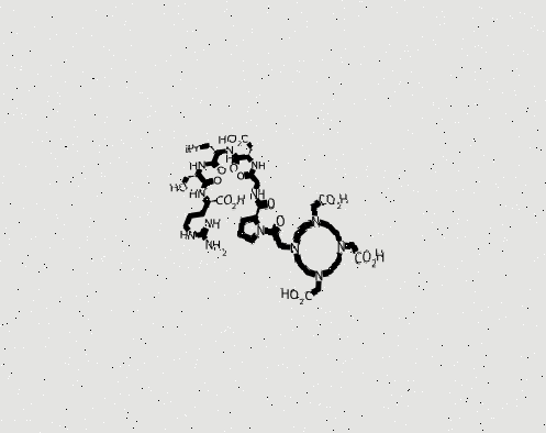 CC(C)C[C@H](NC(=O)[C@H](CC(=O)O)NC(=O)CNC(=O)[C@@H]1CCCN1C(=O)CN1CCN(CC(=O)O)CCN(CC(=O)O)CCN(CC(=O)O)CC1)C(=O)N[C@@H](CO)C(=O)N[C@@H](CCCNC(=N)N)C(=O)O